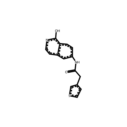 O=C(Cc1ccsc1)Nc1ccc2c(O)nccc2c1